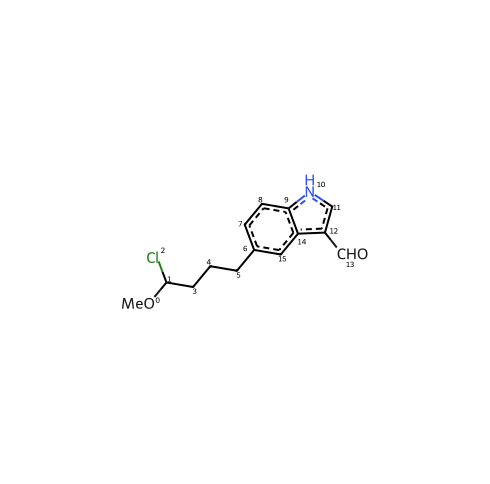 COC(Cl)CCCc1ccc2[nH]cc(C=O)c2c1